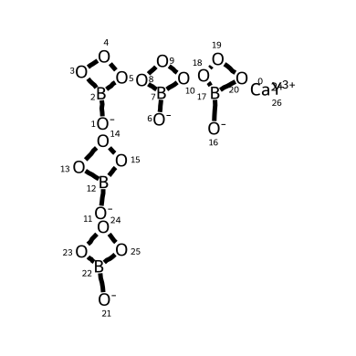 [Ca+2].[O-]B1OOO1.[O-]B1OOO1.[O-]B1OOO1.[O-]B1OOO1.[O-]B1OOO1.[Y+3]